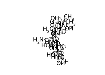 CC[C@H](C)[C@H](N)C(=O)N[C@@H](CC(=O)O)C(=O)N[C@@H](C)C(=O)N[C@@H](Cc1ccc(O)cc1)C(=O)N[C@@H](CCCCN)C(=O)N[C@H](C(=O)N[C@@H](Cc1ccccc1)C(=O)N1CCC[C@H]1C(=O)N[C@@H](CO)C(=O)N[C@@H](CO)C(=O)O)[C@@H](C)O